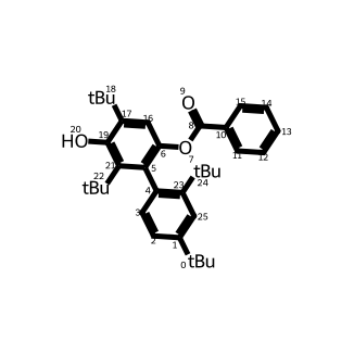 CC(C)(C)c1ccc(-c2c(OC(=O)c3ccccc3)cc(C(C)(C)C)c(O)c2C(C)(C)C)c(C(C)(C)C)c1